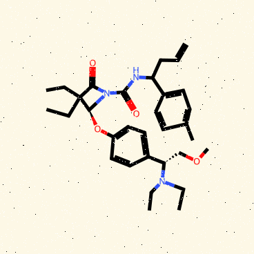 C=CCC(NC(=O)N1C(=O)C(CC)(CC)[C@@H]1Oc1ccc([C@H](COC)N(CC)CC)cc1)c1ccc(C)cc1